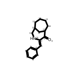 O=C1C(=Cc2ccccc2)NCC2CCC[CH]C1C2